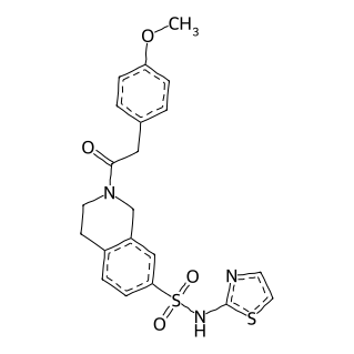 COc1ccc(CC(=O)N2CCc3ccc(S(=O)(=O)Nc4nccs4)cc3C2)cc1